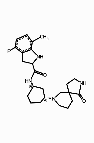 Cc1ccc(F)c2c1NC(C(=O)N[C@@H]1CCC[C@@H](N3CCCC4(CCNC4=O)C3)C1)C2